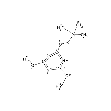 COc1cc(OCC(C)(C)C)nc(OC)n1